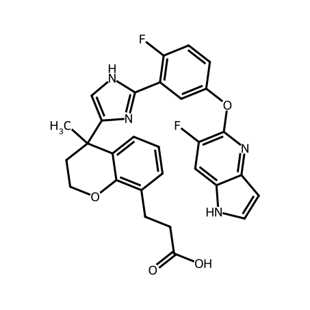 CC1(c2c[nH]c(-c3cc(Oc4nc5cc[nH]c5cc4F)ccc3F)n2)CCOc2c(CCC(=O)O)cccc21